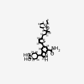 CC[Si](CC)(CC)OC(C)(C)CCc1ccc(-c2cc(C(N)=O)c3[nH]cc(C4CCS(O)(O)CC4)c3c2)s1